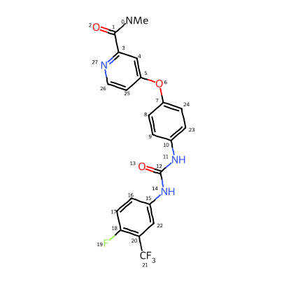 CNC(=O)c1cc(Oc2ccc(NC(=O)Nc3ccc(F)c(C(F)(F)F)c3)cc2)ccn1